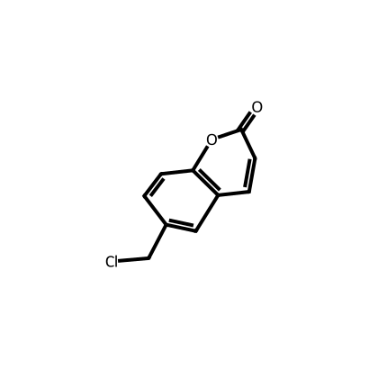 O=c1ccc2cc(CCl)ccc2o1